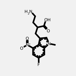 Cn1cc(CC(CCN)C(=O)O)c2c([N+](=O)[O-])cc(F)cc21